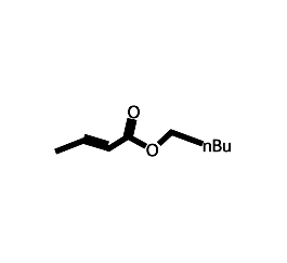 [CH2]CCCCOC(=O)/C=C/C